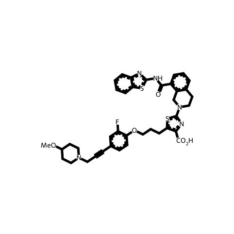 COC1CCN(CC#Cc2ccc(OCCCc3sc(N4CCc5cccc(C(=O)Nc6nc7ccccc7s6)c5C4)nc3C(=O)O)c(F)c2)CC1